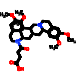 CCC1CN2CCc3cc(OC)c(OC)cc3C2CC1CC1c2cc(OC)c(OC)cc2CCN1C(=O)CCC(=O)O